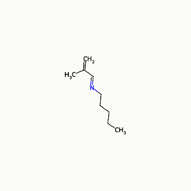 C=C(C)C=NCCCCC